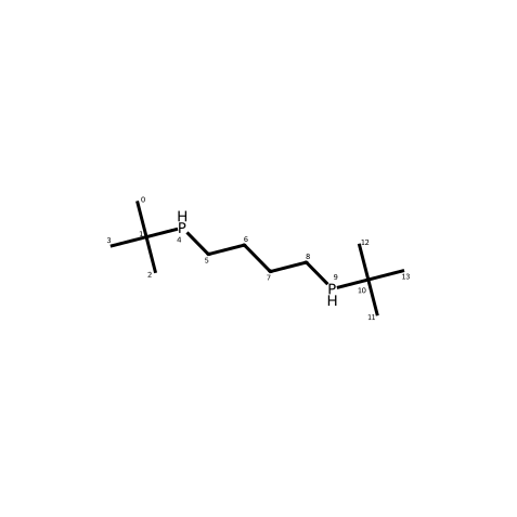 CC(C)(C)PCCCCPC(C)(C)C